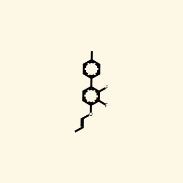 C/C=C/Oc1ccc(-c2ccc(C)cc2)c(F)c1F